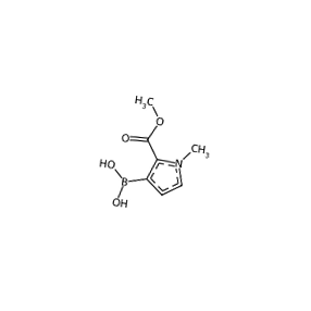 COC(=O)c1c(B(O)O)ccn1C